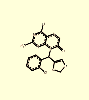 Nc1nc(Cl)c2ncc(=O)n(C(C3=COCO3)c3ccccc3Cl)c2n1